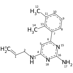 C=CCNc1cc(-c2cccc(C)c2C)nc(N)n1